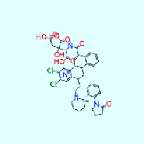 CN(C(=O)c1cc(C#N)c(CC(CCN2CCCC[C@H]2c2ccccc2N2CCCC2=O)c2ccc(Cl)c(Cl)c2)c2ccccc12)C(C(=O)O)C(O)(CC(=O)O)C(=O)O